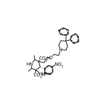 CCCCCCC1(C(=O)O)C(C)NC(C)C(CCOCCN2CCC(c3ccccc3)(c3ccccc3)CC2)(C(=O)O)[C@@H]1c1cccc([N+](=O)[O-])c1